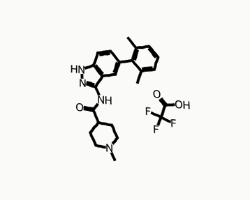 Cc1cccc(C)c1-c1ccc2[nH]nc(NC(=O)C3CCN(C)CC3)c2c1.O=C(O)C(F)(F)F